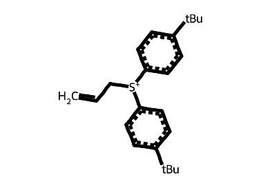 C=CC[S+](c1ccc(C(C)(C)C)cc1)c1ccc(C(C)(C)C)cc1